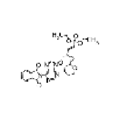 CCOP(=O)(/C=C/[C@@H](COn1cnc2c(N3C(=O)c4ccccc4C3=O)ncnc21)O[C@@H]1CCCCO1)OCC